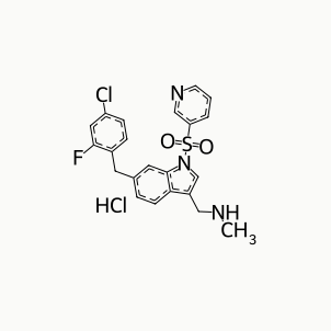 CNCc1cn(S(=O)(=O)c2cccnc2)c2cc(Cc3ccc(Cl)cc3F)ccc12.Cl